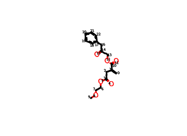 C=C(CC(=O)OCCOC)C(=O)OCC(=O)Cc1ccccc1